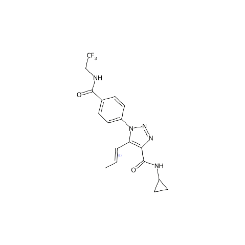 C/C=C/c1c(C(=O)NC2CC2)nnn1-c1ccc(C(=O)NCC(F)(F)F)cc1